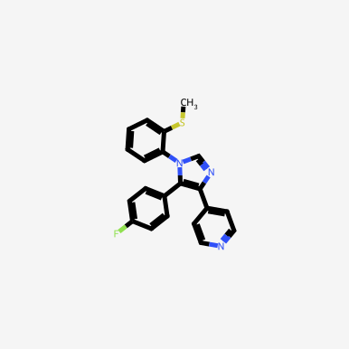 CSc1ccccc1-n1cnc(-c2ccncc2)c1-c1ccc(F)cc1